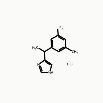 Cc1cc(C)cc(C(C)c2c[nH]cn2)c1.Cl